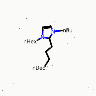 CCCCCCCCCCCCCC1N(CCCC)C=CN1CCCCCC